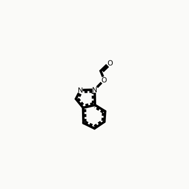 O=COn1ncc2ccccc21